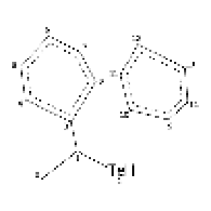 CC([TeH])c1ccccc1.c1ccccc1